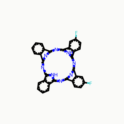 Fc1ccc2c(c1)-c1nc-2nc2[nH]c(nc3nc(nc4[nH]c(n1)c1ccc(F)cc41)-c1ccccc1-3)c1ccccc21